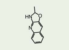 CC1Nc2nc3ccccc3cc2O1